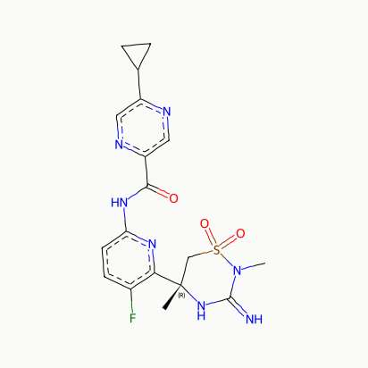 CN1C(=N)N[C@](C)(c2nc(NC(=O)c3cnc(C4CC4)cn3)ccc2F)CS1(=O)=O